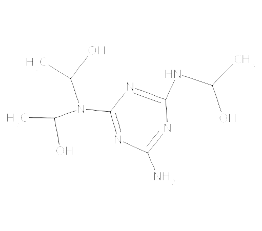 CC(O)Nc1nc(N)nc(N(C(C)O)C(C)O)n1